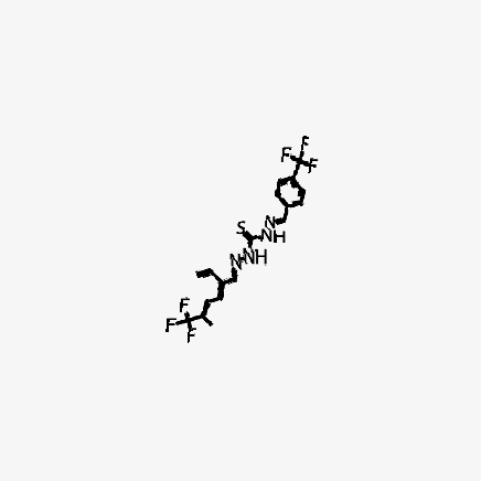 C=CC(/C=N/NC(=S)N/N=C/c1ccc(C(F)(F)F)cc1)=C\C=C(/C)C(F)(F)F